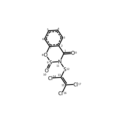 O=C1c2ccccc2OS(=O)N1SC(Cl)=C(Cl)Cl